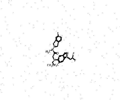 CCOC(=O)CN(CC(=O)N(C)N1Cc2ccc(F)cc2C1)c1cc2cnn(CC(F)F)c2cc1C